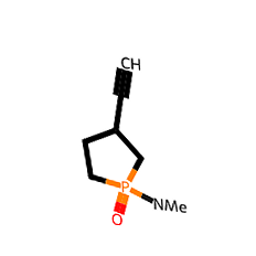 C#CC1CCP(=O)(NC)C1